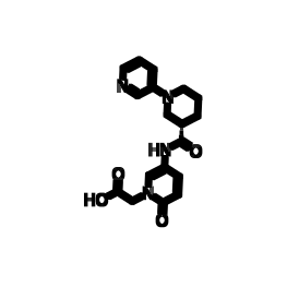 O=C(O)Cn1cc(NC(=O)[C@H]2CCCN(c3cccnc3)C2)ccc1=O